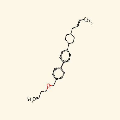 C=CCCOCc1ccc(-c2ccc(C3CCC(C/C=C/C)CC3)cc2)cc1